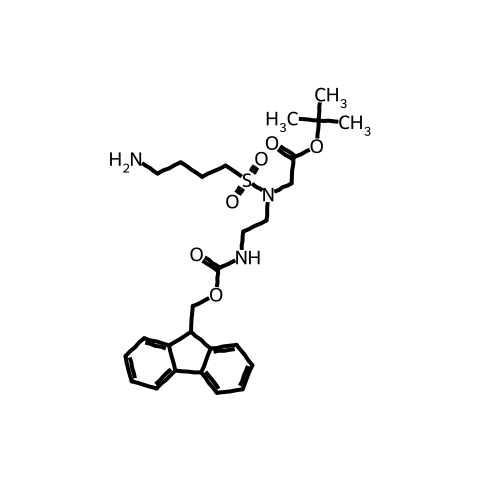 CC(C)(C)OC(=O)CN(CCNC(=O)OCC1c2ccccc2-c2ccccc21)S(=O)(=O)CCCCN